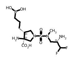 CN(C[C@H](N)C(F)F)S(=O)(=O)N1C[C@@H](CCCB(O)O)[C@@](N)(C(=O)O)C1